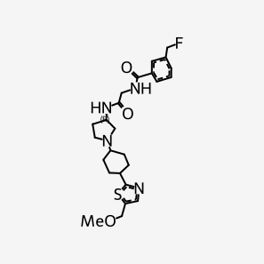 COCc1cnc(C2CCC(N3CC[C@@H](NC(=O)CNC(=O)c4cccc(CF)c4)C3)CC2)s1